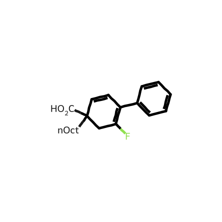 CCCCCCCCC1(C(=O)O)C=CC(c2ccccc2)=C(F)C1